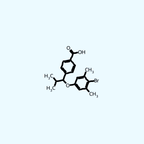 Cc1cc(OC(c2ccc(C(=O)O)cc2)C(C)C)cc(C)c1Br